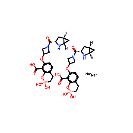 O=C(O)c1c(OC2CN(C(=O)[C@@H]3C[C@@H]4C[C@@H]4N3)C2)ccc2c1O[B-](O)(O)CC2.O=C(O)c1c(OC2CN(C(=O)[C@@H]3C[C@@H]4C[C@@H]4N3)C2)ccc2c1O[B-](O)(O)CC2.[Na+].[Na+]